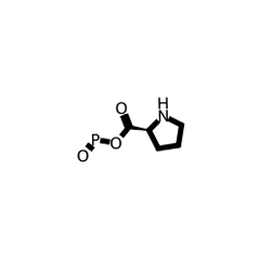 O=POC(=O)[C@@H]1CCCN1